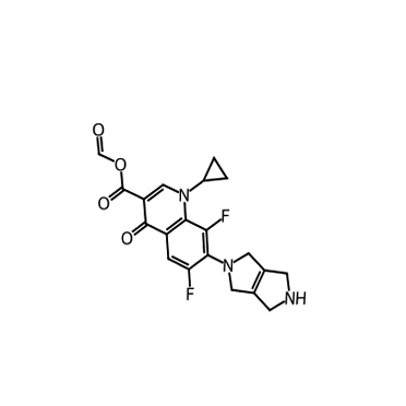 O=COC(=O)c1cn(C2CC2)c2c(F)c(N3CC4=C(CNC4)C3)c(F)cc2c1=O